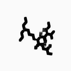 CCCN(CCC)CCCC[C@H](NC(=O)[C@@H](NCC)C(C)C)C(=O)NCC(=O)CC